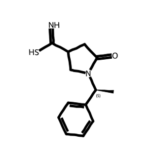 C[C@@H](c1ccccc1)N1CC(C(=N)S)CC1=O